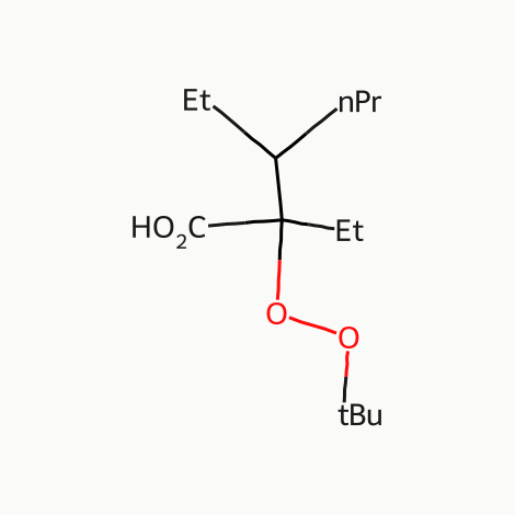 CCCC(CC)C(CC)(OOC(C)(C)C)C(=O)O